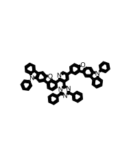 c1ccc(-c2nc(-c3ccccc3)nc(-c3cc(-c4ccc5oc6cc7c(cc6c5c4)c4ccccc4n7-c4ccccc4)cnc3-c3cccc4c3oc3cc5c6ccccc6n(-c6ccccc6)c5cc34)n2)cc1